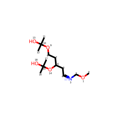 COC/N=C\CC(CCOC(C)(C)O)OC(C)(C)O